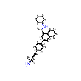 C[C@@H](NC1CCCCC1)c1cc(-c2ccc(C#CC(C)(C)N)cc2)cc2ccccc12